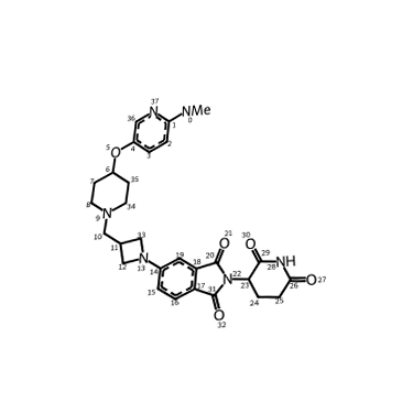 CNc1ccc(OC2CCN(CC3CN(c4ccc5c(c4)C(=O)N(C4CCC(=O)NC4=O)C5=O)C3)CC2)cn1